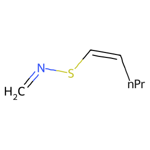 C=NS/C=C\CCC